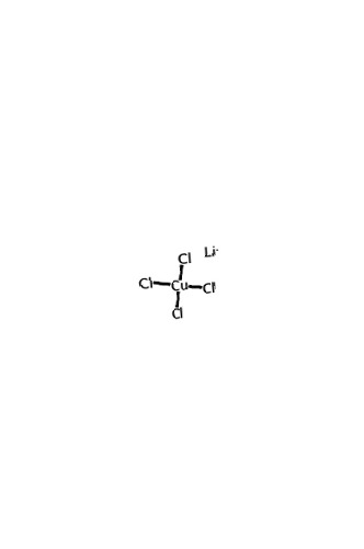 [Cl][Cu]([Cl])([Cl])[Cl].[Li]